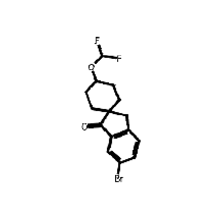 O=C1c2cc(Br)ccc2CC12C[CH]C(OC(F)F)CC2